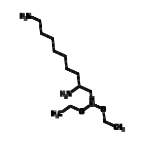 CCO[SiH](CC(N)CCCCCCCN)OCC